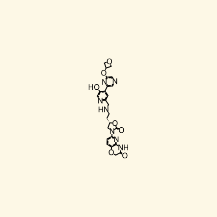 O=C1COc2ccc(N3C[C@H](CCNCc4cc(-c5cncc(OC6COC6)n5)c(O)cn4)OC3=O)nc2N1